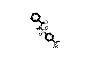 CC(=O)N(C)c1ccc(S(=O)(=O)N(C)C(=O)c2ccccc2)cc1